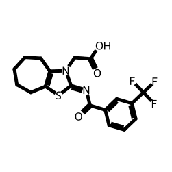 O=C(O)Cn1c2c(s/c1=N\C(=O)c1cccc(C(F)(F)F)c1)CCCCC2